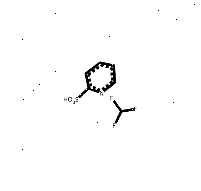 FC(F)F.O=S(=O)(O)c1ccccn1